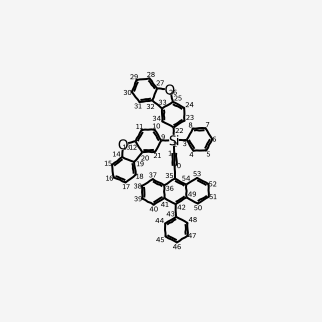 C(#C[Si](c1ccccc1)(c1ccc2oc3ccccc3c2c1)c1ccc2oc3ccccc3c2c1)c1c2ccccc2c(-c2ccccc2)c2ccccc12